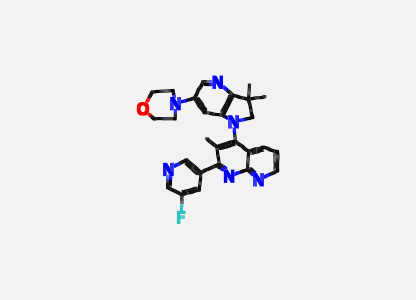 Cc1c(-c2cncc(F)c2)nc2ncccc2c1N1CC(C)(C)c2ncc(N3CCOCC3)cc21